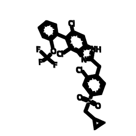 O=S(=O)(CC1CC1)c1ccc(Cc2nc3c(Cl)c(-c4ccccc4OC(F)(F)F)c(Cl)cc3[nH]2)c(Cl)c1